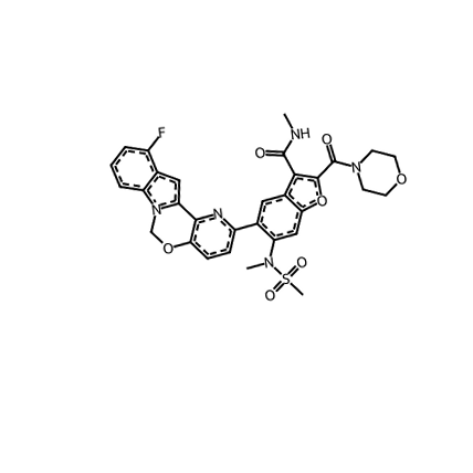 CNC(=O)c1c(C(=O)N2CCOCC2)oc2cc(N(C)S(C)(=O)=O)c(-c3ccc4c(n3)-c3cc5c(F)cccc5n3CO4)cc12